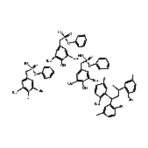 CC(C)(C)c1cc(CP(=O)(O)Oc2ccccc2)cc(C(C)(C)C)c1O.CC(C)(C)c1cc(CP(=O)(O)Oc2ccccc2)cc(C(C)(C)C)c1O.CC(C)(C)c1cc(CP(=O)(O)Oc2ccccc2)cc(C(C)(C)C)c1O.Cc1ccc(C(C)(C)C)c(C(C)CC(c2cc(C)ccc2C(C)(C)C)c2cc(C)ccc2C(C)(C)C)c1